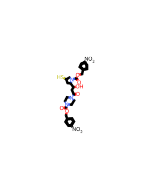 O=C(CC(O)C1CC(S)CN1C(=O)OCc1ccc([N+](=O)[O-])cc1)N1CCN(C(=O)OCc2ccc([N+](=O)[O-])cc2)CC1